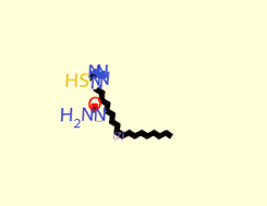 CCCCCCCC/C=C\CCCC(CCCCn1nnnc1S)N(C)C(N)=O